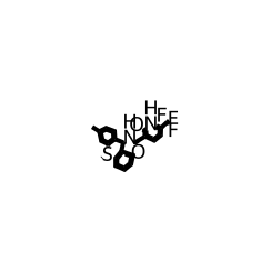 CSc1cc(C)ccc1C(NC(=O)c1ccc(C(F)(F)F)[nH]c1=O)c1ccccc1